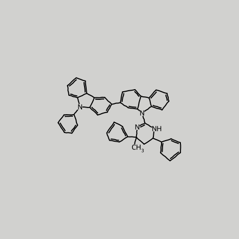 CC1(c2ccccc2)CC(c2ccccc2)NC(n2c3ccccc3c3ccc(-c4ccc5c(c4)c4ccccc4n5-c4ccccc4)cc32)=N1